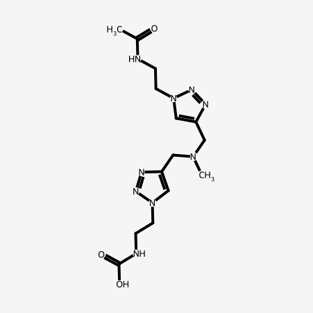 CC(=O)NCCn1cc(CN(C)Cc2cn(CCNC(=O)O)nn2)nn1